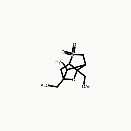 CC(=O)OCC12CC3C(COC(C)=O)(O1)C(CS3(=O)=O)C2C